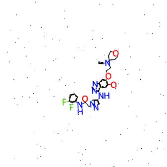 C#CN(CCOc1cc2ncnc(Nc3cnn(CC(=O)Nc4cccc(F)c4F)c3)c2cc1OC)C1CCOCC1